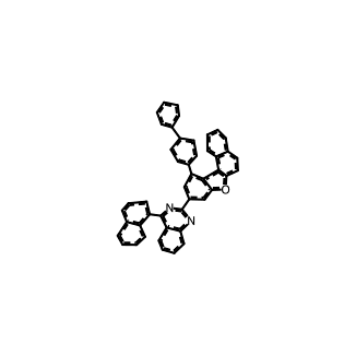 c1ccc(-c2ccc(-c3cc(-c4nc(-c5cccc6ccccc56)c5ccccc5n4)cc4oc5ccc6ccccc6c5c34)cc2)cc1